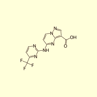 O=C(O)c1cnn2ccc(Nc3nccc(C(F)(F)F)n3)nc12